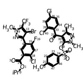 CC(C)OC(=O)c1cc(-c2nn(C)c(C(F)(F)F)c2Br)c(F)cc1Cl.Cc1ccc(S(=O)(=O)Oc2c(C(=O)c3ccc(Cl)cc3Cl)c(C)nn2C)cc1